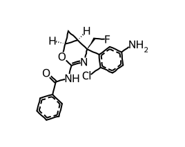 Nc1ccc(Cl)c([C@]2(CF)N=C(NC(=O)c3ccccc3)O[C@H]3C[C@H]32)c1